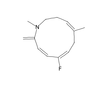 C=C1/C=C\C(F)=C/C/C(C)=C\CCN1C